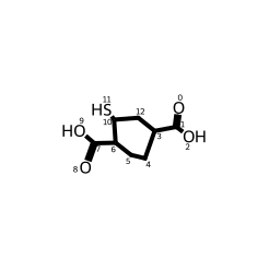 O=C(O)C1CCC(C(=O)O)C(S)C1